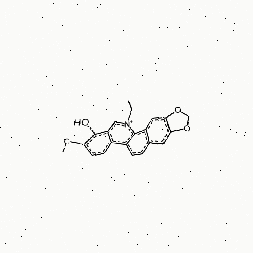 CC[n+]1cc2c(O)c(OC)ccc2c2ccc3cc4c(cc3c21)OCO4